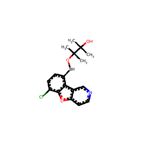 CC(C)(O)C(C)(C)OBc1ccc(Cl)c2oc3ccncc3c12